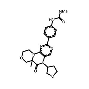 CNC(=O)Nc1ccc(-c2ncc3c(n2)N2CCOCC2(C)C(=O)N3C2CCOC2)cc1